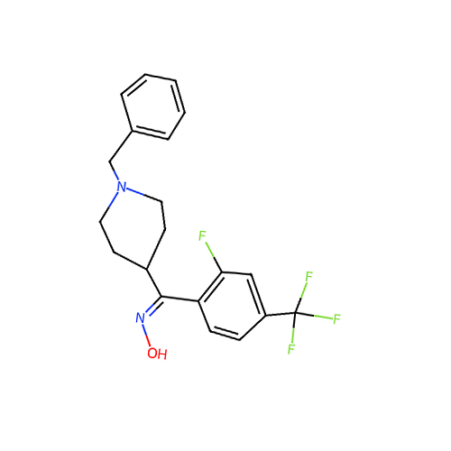 O/N=C(\c1ccc(C(F)(F)F)cc1F)C1CCN(Cc2ccccc2)CC1